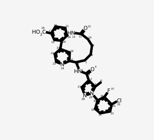 Cc1c(C(=O)NC2CCCCC(=O)Nc3ccc(C(=O)O)cc3-c3ccnc2c3)cnn1-c1cccc(Cl)c1F